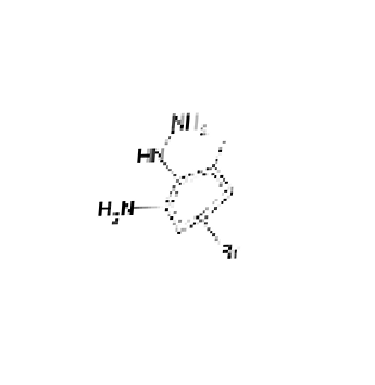 Cc1cc(Br)cc(N)c1NN